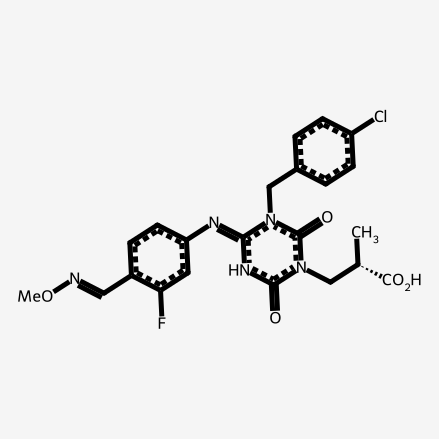 CO/N=C/c1ccc(/N=c2\[nH]c(=O)n(C[C@H](C)C(=O)O)c(=O)n2Cc2ccc(Cl)cc2)cc1F